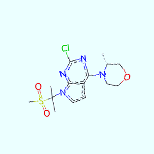 C[C@@H]1COCCN1c1nc(Cl)nc2c1ccn2C(C)(C)S(C)(=O)=O